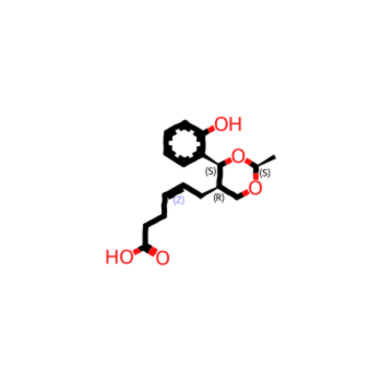 C[C@H]1OC[C@@H](C/C=C\CCC(=O)O)[C@@H](c2ccccc2O)O1